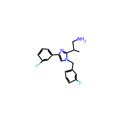 CC(CN)c1nc(-c2cccc(F)c2)cn1Cc1cccc(F)c1